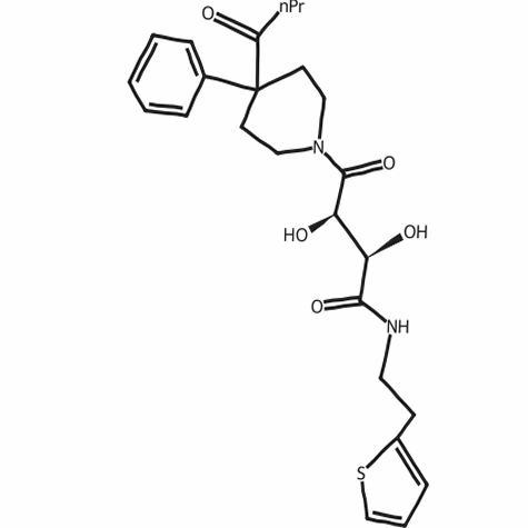 CCCC(=O)C1(c2ccccc2)CCN(C(=O)[C@H](O)[C@@H](O)C(=O)NCCc2cccs2)CC1